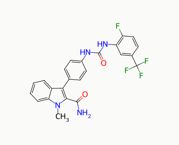 Cn1c(C(N)=O)c(-c2ccc(NC(=O)Nc3cc(C(F)(F)F)ccc3F)cc2)c2ccccc21